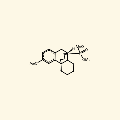 COc1ccc2c(c1)[C@@]13CCCCC1[C@@H](C2)N(P(=O)(OC)OC)CC3